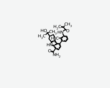 C=C(C)C(=O)Nc1cccc(-c2ccc(C(N)=O)c3[nH]c4c(c23)CCC(C(C)(C)O)C4)c1C